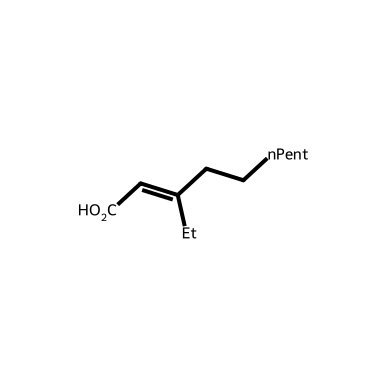 CCCCCCC/C(=C/C(=O)O)CC